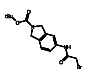 CC(C)(C)OC(=O)N1Cc2ccc(NC(=O)CBr)cc2C1